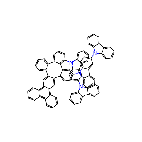 c1ccc2c(c1)-c1cc3c4ccccc4c4ccccc4c3cc1-c1ccc(-n3c4ccccc4c4cc(-n5c6ccccc6c6ccccc65)ccc43)cc1-c1c-2cccc1-n1c2ccccc2c2cc(-n3c4ccccc4c4ccccc43)ccc21